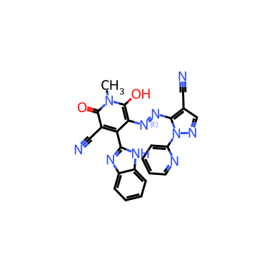 Cn1c(O)c(/N=N/c2c(C#N)cnn2-c2ccccn2)c(-c2nc3ccccc3[nH]2)c(C#N)c1=O